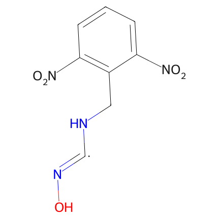 O=[N+]([O-])c1cccc([N+](=O)[O-])c1CN[C]=NO